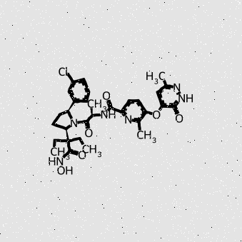 CCC(CC)(C(=O)NO)[C@H]1CC[C@@H](c2cccc(Cl)c2)N1C(=O)[C@@H](C)NC(=O)c1ccc(Oc2cc(C)n[nH]c2=O)c(C)n1